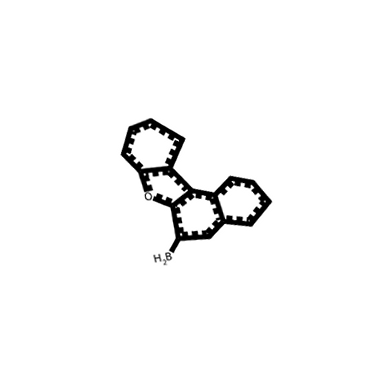 Bc1cc2ccccc2c2c1oc1ccccc12